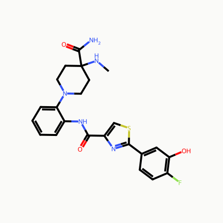 CNC1(C(N)=O)CCN(c2ccccc2NC(=O)c2csc(-c3ccc(F)c(O)c3)n2)CC1